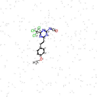 COc1ccc(C=Cc2nc(N=C=O)nc(C(Cl)(Cl)Cl)n2)cc1